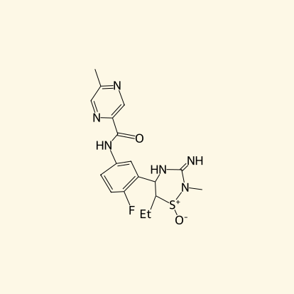 CCC1C(c2cc(NC(=O)c3cnc(C)cn3)ccc2F)NC(=N)N(C)[S+]1[O-]